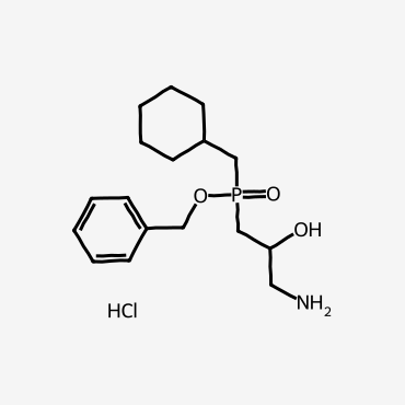 Cl.NCC(O)CP(=O)(CC1CCCCC1)OCc1ccccc1